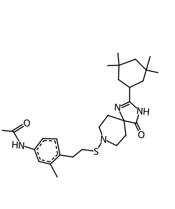 CC(=O)Nc1ccc(CCSN2CCC3(CC2)N=C(C2CC(C)(C)CC(C)(C)C2)NC3=O)c(C)c1